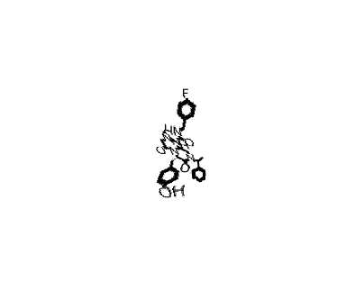 CC(c1ccccc1)N1C[C@H]2N(C(=O)CN(C)N2C(=O)NCc2ccc(F)cc2)[C@@H](Cc2ccc(O)cc2)C1=O